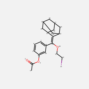 CC(=O)Oc1cccc(C(OCCI)=C2C3CC4CC(C3)CC2C4)c1